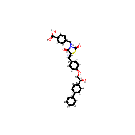 O=C(O)c1ccc(CN2C(=O)S/C(=C\c3ccc(OCC(=O)c4ccc(-c5ccccc5)cc4)cc3)C2=O)cc1